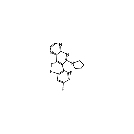 Fc1cc(F)c(-c2c(N3CCCC3)nc3nccnc3c2F)c(F)c1